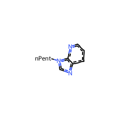 CCCCCn1cnc2cccnc21